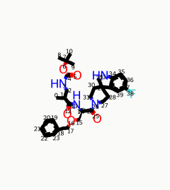 CC(CNC(=O)OC(C)(C)C)C(=O)N[C@H](COCc1ccccc1)C(=O)N1CCC2(CC1)CNc1ccc(F)cc12